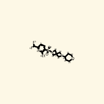 CCc1nc(C(F)F)ccc1S(=O)(=O)N1CC2(CN(C3CCOCC3)C2)C1